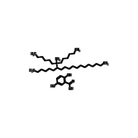 CCCCCCCCCCCCC(CCCCCC)C(P)(CCCCCC)CCCCCC.O=C(O)c1cc(O)ccc1O